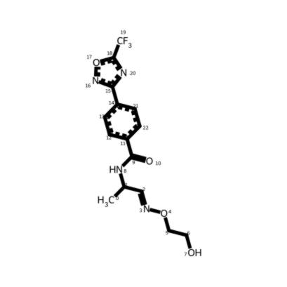 CC(C=NOCCO)NC(=O)c1ccc(-c2noc(C(F)(F)F)n2)cc1